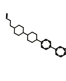 C=CCCC1CCC(C2CCC(c3ccc(-c4ccc(OCC)c(F)c4)cc3)CC2)CC1